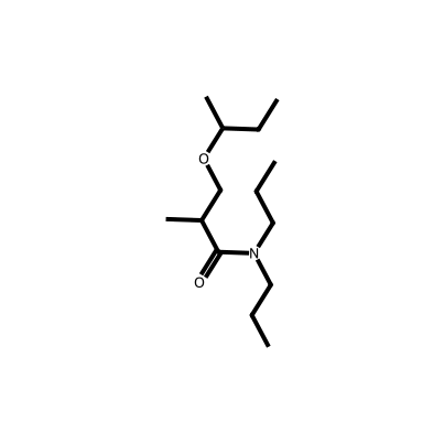 CCCN(CCC)C(=O)C(C)COC(C)CC